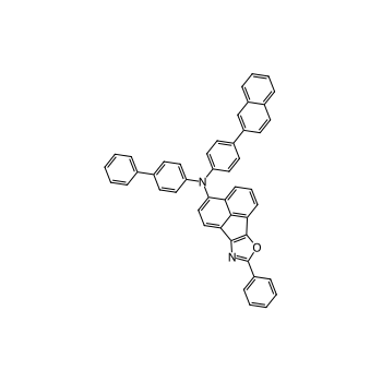 c1ccc(-c2ccc(N(c3ccc(-c4ccc5ccccc5c4)cc3)c3ccc4c5c(cccc35)-c3oc(-c5ccccc5)nc3-4)cc2)cc1